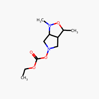 CCOC(=O)ON1CC2C(C)ON(C)C2C1